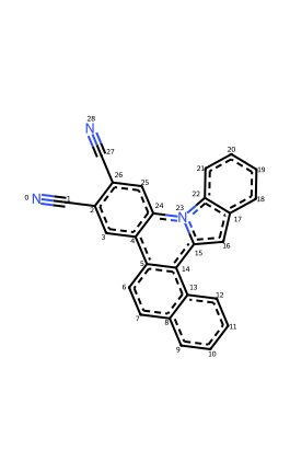 N#Cc1cc2c3ccc4ccccc4c3c3cc4ccccc4n3c2cc1C#N